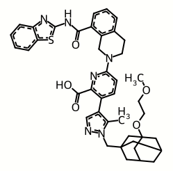 COCCOC12CC3CC(CC(Cn4ncc(-c5ccc(N6CCc7cccc(C(=O)Nc8nc9ccccc9s8)c7C6)nc5C(=O)O)c4C)(C3)C1)C2